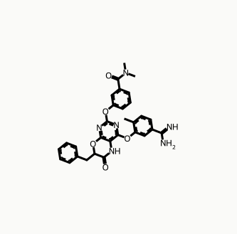 Cc1ccc(C(=N)N)cc1Oc1nc(Oc2cccc(C(=O)N(C)C)c2)nc2c1NC(=O)C(Cc1ccccc1)O2